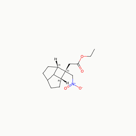 CCOC(=O)C[C@@]1(C[N+](=O)[O-])[C@@H]2CCC3CC[C@H]1C32